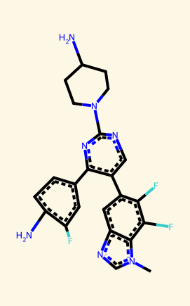 Cn1cnc2cc(-c3cnc(N4CCC(N)CC4)nc3-c3ccc(N)c(F)c3)c(F)c(F)c21